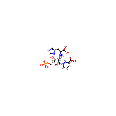 NC(Cc1c[nH]cn1)C(=O)O.O=C(O)c1ccc[n+]([C@@H]2O[C@H](COP(=O)(O)O)[C@@H](O)[C@H]2O)c1